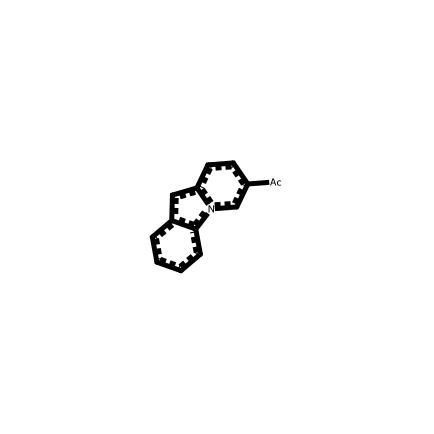 CC(=O)c1ccc2cc3ccccc3n2c1